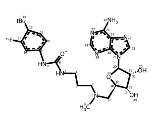 CN(CCCNC(=O)Nc1ccc(C(C)(C)C)c(F)c1)C[C@H]1OC(n2cnc3c(N)ncnc32)[C@H](O)[C@@H]1O